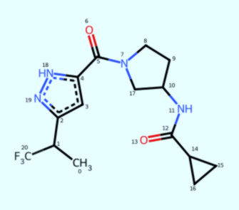 CC(c1cc(C(=O)N2CCC(NC(=O)C3CC3)C2)[nH]n1)C(F)(F)F